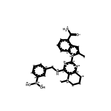 Cc1cc2c(C(N)=O)cccc2n1-c1nc2c(c(NCc3cccc(B(O)O)c3)n1)N(C)CCC2